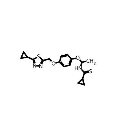 CC(NC(=S)C1CC1)Oc1ccc(OCc2nnc(C3CC3)s2)cc1